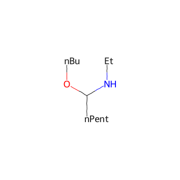 CCCCCC(NCC)OCCCC